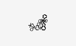 CC(C)(C)OC(=O)N1CCN(c2cccc3cc(S(=O)(=O)c4ccccc4)n(C(=O)O)c23)CC1